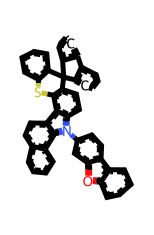 c1ccc2c(c1)Sc1c(ccc3c1c1ccc4ccccc4c1n3-c1ccc3c(c1)oc1ccccc13)C21c2ccccc2-c2ccccc21